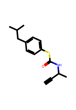 C#CC(C)NC(=O)Sc1ccc(CC(C)C)cc1